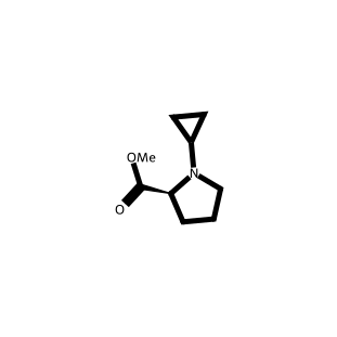 COC(=O)[C@@H]1CCCN1C1CC1